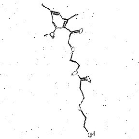 COc1cc(C)cc(C)c1C(=O)COCCOC(=O)CCSCCO